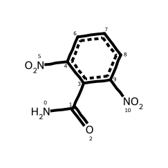 NC(=O)c1c([N+](=O)[O-])cccc1[N+](=O)[O-]